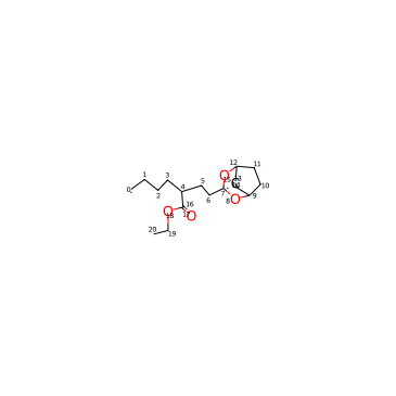 [CH2]CCCC(CC[C]1OC2CCC(CC2)O1)C(=O)OCC